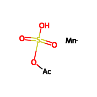 CC(=O)OS(=O)(=O)O.[Mn]